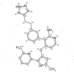 Cc1cccc(-c2nc(C)sc2Oc2ccnc(N)c2-c2cccc(CCc3nn[nH]n3)c2)n1